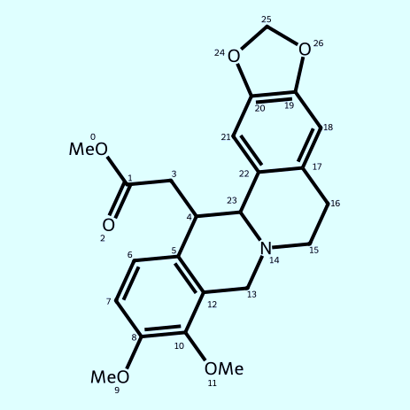 COC(=O)CC1c2ccc(OC)c(OC)c2CN2CCc3cc4c(cc3C12)OCO4